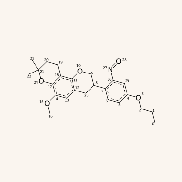 CCCOc1ccc(C2COc3c(cc(OC)c4c3CCC(C)(C)O4)C2)c(N=O)c1